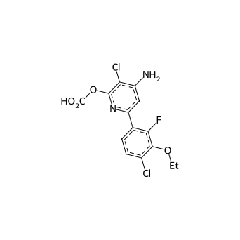 CCOc1c(Cl)ccc(-c2cc(N)c(Cl)c(OC(=O)O)n2)c1F